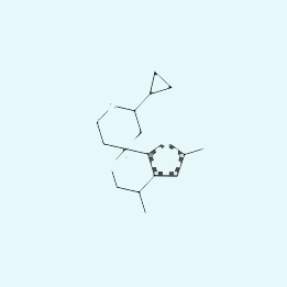 CC1CO[C@@]2(CC(C3CC3)N[C@@H](C)C2)c2sc(Cl)cc21